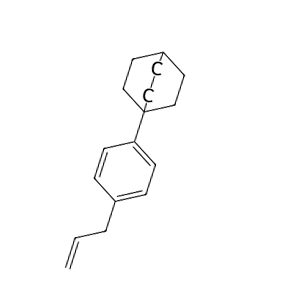 C=CCc1ccc(C23CCC(CC2)CC3)cc1